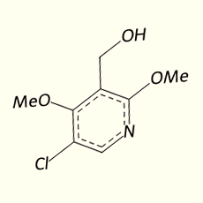 COc1ncc(Cl)c(OC)c1CO